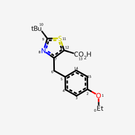 CCOc1ccc(Cc2nc(C(C)(C)C)sc2C(=O)O)cc1